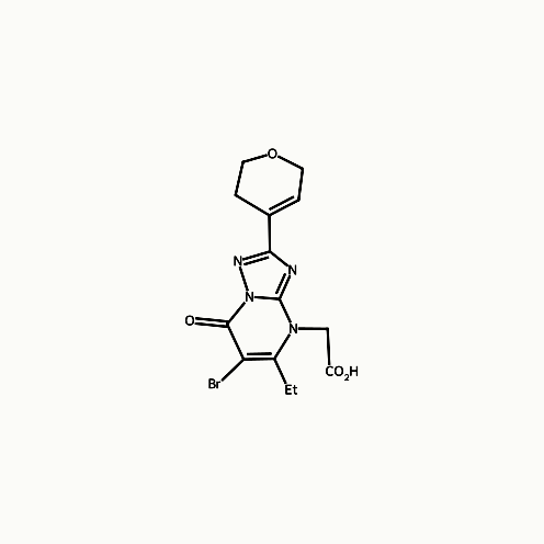 CCc1c(Br)c(=O)n2nc(C3=CCOCC3)nc2n1CC(=O)O